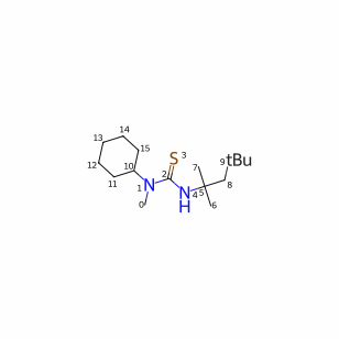 CN(C(=S)NC(C)(C)CC(C)(C)C)C1CCCCC1